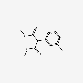 COC(=O)C(C(=O)OC)c1ccnc(C)c1